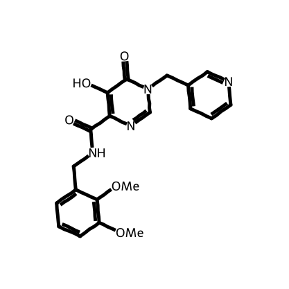 COc1cccc(CNC(=O)c2ncn(Cc3cccnc3)c(=O)c2O)c1OC